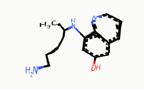 CC(CCCN)Nc1cc(O)cc2cccnc12